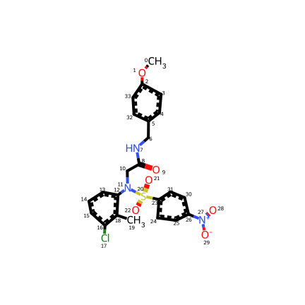 COc1ccc(CNC(=O)CN(c2cccc(Cl)c2C)S(=O)(=O)c2ccc([N+](=O)[O-])cc2)cc1